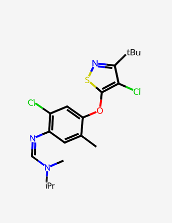 Cc1cc(/N=C\N(C)C(C)C)c(Cl)cc1Oc1snc(C(C)(C)C)c1Cl